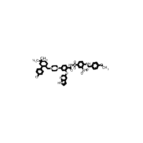 COc1ccc(CNc2ccc(S(=O)(=O)NC(=O)c3ccc(N4CCN(CC5=C(c6ccc(Cl)cc6)CC(C)(C)CC5)CC4)cc3Oc3cnc4[nH]ccc4c3)cc2[N+](=O)[O-])cc1